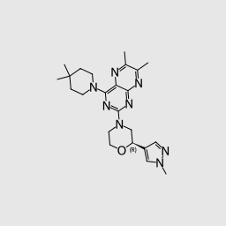 Cc1nc2nc(N3CCO[C@H](c4cnn(C)c4)C3)nc(N3CCC(C)(C)CC3)c2nc1C